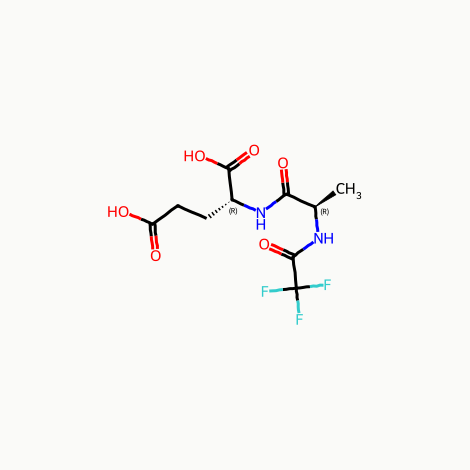 C[C@@H](NC(=O)C(F)(F)F)C(=O)N[C@H](CCC(=O)O)C(=O)O